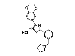 Cl.c1cc(CN2CCCC2)cc(-c2n[nH]c(-c3ccc4c(c3)OCCO4)n2)c1